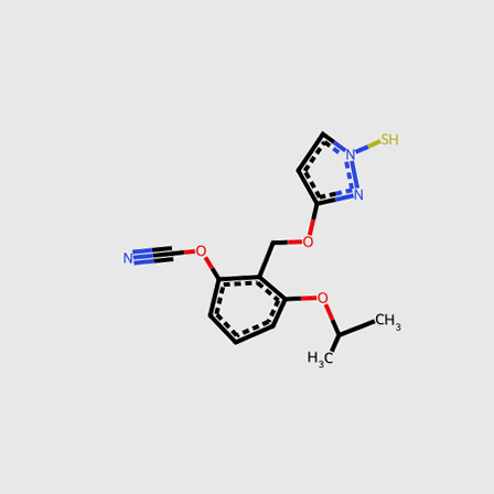 CC(C)Oc1cccc(OC#N)c1COc1ccn(S)n1